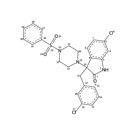 O=C1Nc2cc(Cl)ccc2C1(Cc1cccc(Cl)c1)N1CCN(S(=O)(=O)c2ccccc2)CC1